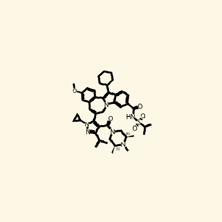 COc1ccc2c(c1)C=C(c1c(C(=O)N3C[C@@H](C)N(C)[C@@H](C)C3)c(C(C)C)nn1C1CC1)Cn1c-2c(C2CCCCC2)c2ccc(C(=O)NS(=O)(=O)C(C)C)cc21